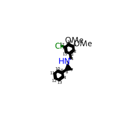 COc1cc(CNC2CC2c2ccccc2)cc(Cl)c1OC